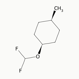 C[C@H]1CC[C@@H](OC(F)F)CC1